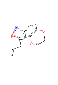 C=CCc1onc2ccc3c(c12)OCCO3